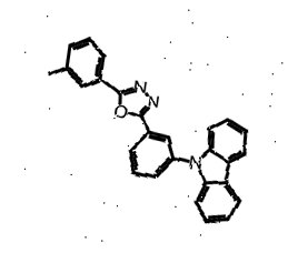 Cc1cccc(-c2nnc(-c3cccc(-n4c5ccccc5c5ccccc54)c3)o2)c1